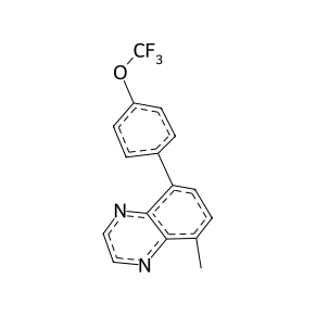 Cc1ccc(-c2ccc(OC(F)(F)F)cc2)c2nccnc12